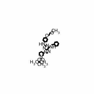 COCCOc1ccc(Nc2nc(NCc3ccccc3)c3ncn([C@@H]4CCCN(C(=O)OC(C)(C)C)C4)c3n2)cc1